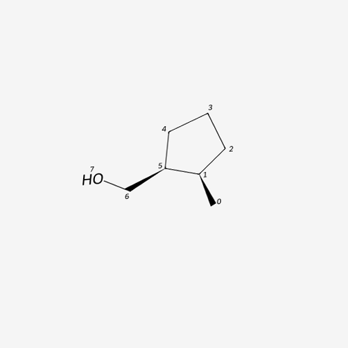 C[C@@H]1CCC[C@@H]1CO